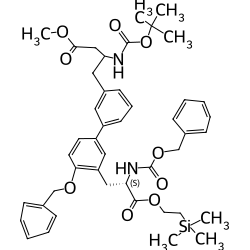 COC(=O)CC(Cc1cccc(-c2ccc(OCc3ccccc3)c(C[C@H](NC(=O)OCc3ccccc3)C(=O)OCC[Si](C)(C)C)c2)c1)NC(=O)OC(C)(C)C